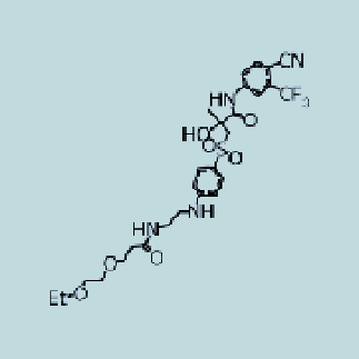 CCOCCOCCC(=O)NCCNc1ccc(S(=O)(=O)CC(C)(O)C(=O)Nc2ccc(C#N)c(C(F)(F)F)c2)cc1